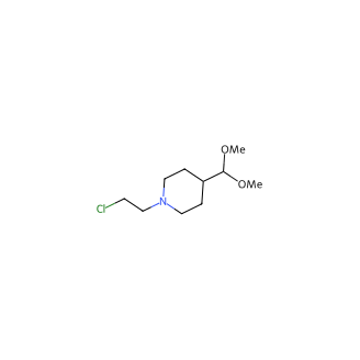 COC(OC)C1CCN(CCCl)CC1